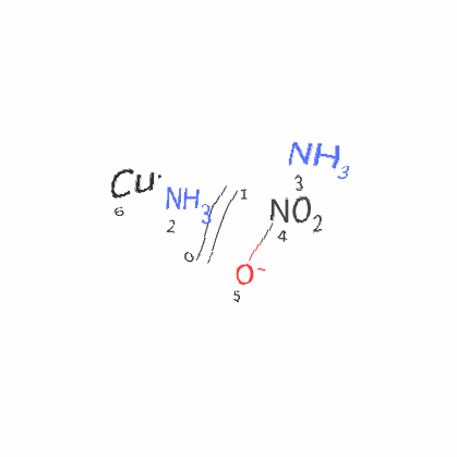 C=C.N.N.O=[N+]([O-])[O-].[Cu]